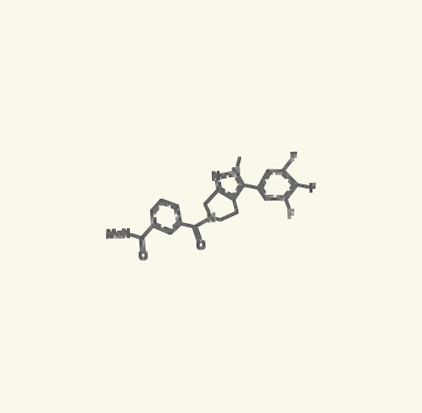 CNC(=O)c1cccc(C(=O)N2CCc3c(nn(C)c3-c3cc(F)c(F)c(F)c3)C2)c1